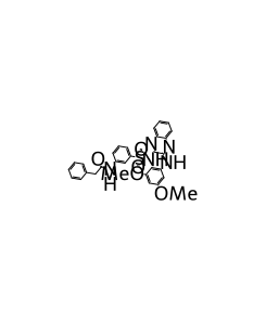 COc1cc(Nc2nc3ccccc3nc2NS(=O)(=O)c2cccc(NC(=O)Cc3ccccc3)c2)cc(OC)c1